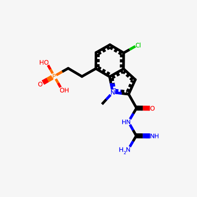 Cn1c(C(=O)NC(=N)N)cc2c(Cl)ccc(CCP(=O)(O)O)c21